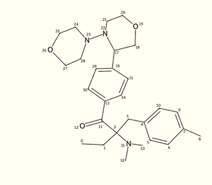 CCC(Cc1ccc(C)cc1)(C(=O)c1ccc(C2COCCN2N2CCOCC2)cc1)N(C)C